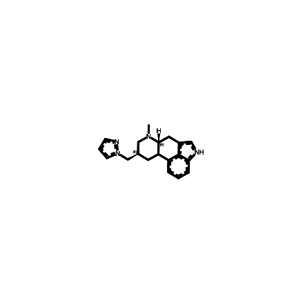 CN1C[C@H](Cn2cccn2)CC2c3cccc4[nH]cc(c34)C[C@H]21